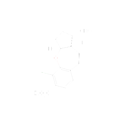 CCOC(=O)c1ccc2c(c1F)O[C@H]1CC[C@H](C=O)[C@H]1CC2